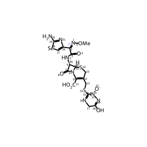 CO/N=C(\C(=O)N[C@@H]1C(=O)N2C(C(=O)O)=C(CSC3=NCC(O)=N[NH+]3[O-])CS[C@H]12)c1c[se]c(N)n1